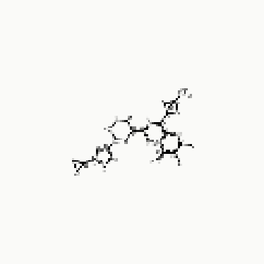 Cc1nc2c(C34CC(C(F)(F)F)(C3)C4)nc([C@@H]3CCO[C@H](c4cnn(C5CC5)c4)C3)cn2c(=O)c1C